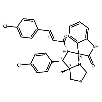 O=C(/C=C/c1ccc(Cl)cc1)[C@H]1[C@H](c2ccc(Cl)cc2)[C@H]2CSCN2[C@]12C(=O)Nc1ccccc12